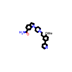 COc1ccc(-c2cccnc2)cc1CCN1CCC(n2ccc3ccc(C(N)=O)cc32)CC1